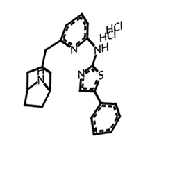 Cl.Cl.c1ccc(-c2cnc(Nc3cccc(CC4CC5CCC(C4)N5)n3)s2)cc1